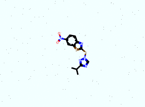 CC(C)c1ncn(Sc2nc3ccc([N+](=O)[O-])cc3s2)n1